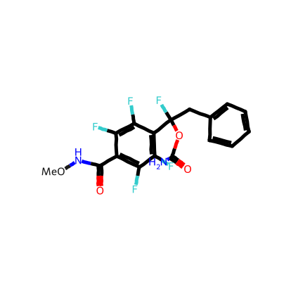 CONC(=O)c1c(F)c(F)c(C(F)(Cc2ccccc2)OC(N)=O)c(F)c1F